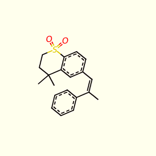 CC(=Cc1ccc2c(c1)C(C)(C)CCS2(=O)=O)c1ccccc1